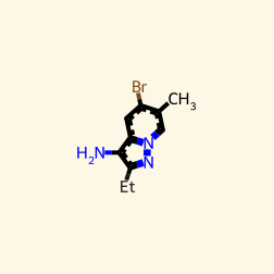 CCc1nn2cc(C)c(Br)cc2c1N